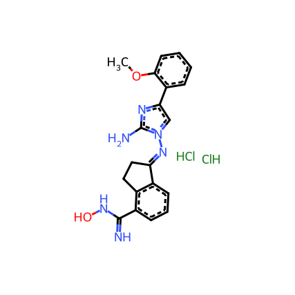 COc1ccccc1-c1cn(/N=C2\CCc3c(C(=N)NO)cccc32)c(N)n1.Cl.Cl